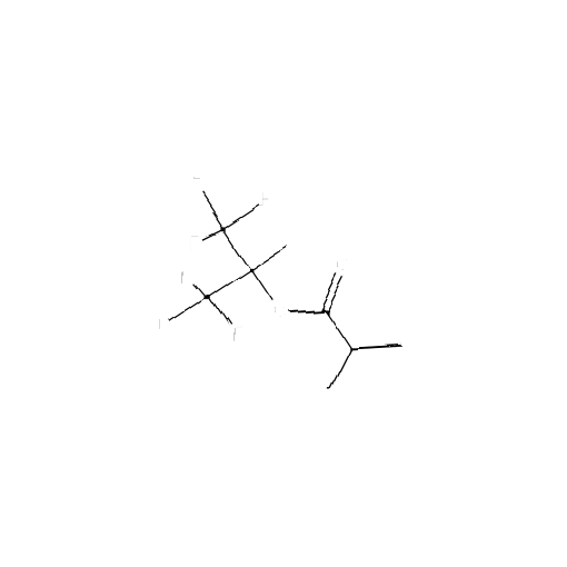 CC(C)C(=O)OC(C)(C(F)(F)F)C(F)(F)F